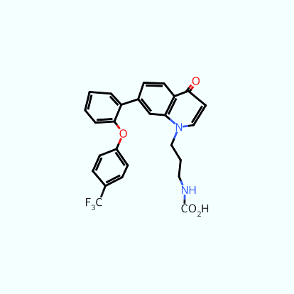 O=C(O)NCCCn1ccc(=O)c2ccc(-c3ccccc3Oc3ccc(C(F)(F)F)cc3)cc21